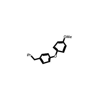 COc1ccc(Oc2ccc(CC(C)C)cc2)cc1